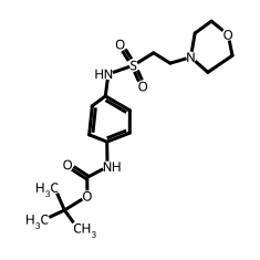 CC(C)(C)OC(=O)Nc1ccc(NS(=O)(=O)CCN2CCOCC2)cc1